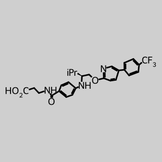 CC(C)[C@@H](COc1ccc(-c2ccc(C(F)(F)F)cc2)cn1)Nc1ccc(C(=O)NCCC(=O)O)cc1